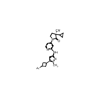 CC(=O)C1CC(c2cc(Nc3cc(N4CC[C@@](C#N)(C5CC5)C4=O)ccn3)nn2C)C1